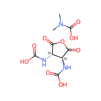 CN(C)C(=O)O.O=C(O)N[C@@H]1C(=O)OC(=O)[C@H]1NC(=O)O